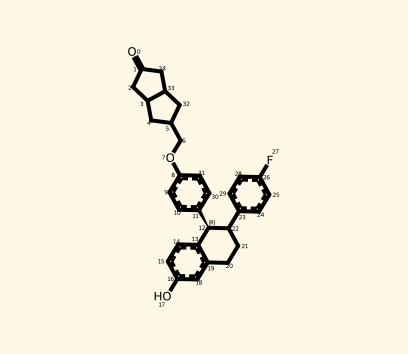 O=C1CC2CC(COc3ccc([C@@H]4c5ccc(O)cc5CCC4c4ccc(F)cc4)cc3)CC2C1